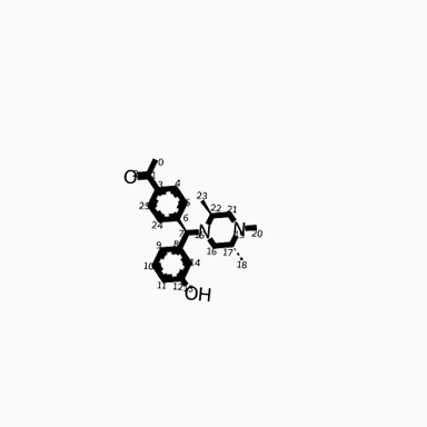 CC(=O)c1ccc([C@H](c2cccc(O)c2)N2C[C@@H](C)N(C)C[C@@H]2C)cc1